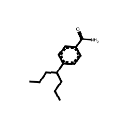 CCCC(CCC)c1ccc(C(N)=O)cc1